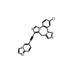 Clc1ccc2c(c1)-n1nncc1Cc1c(C#Cc3ccc4nccn4c3)ncn1-2